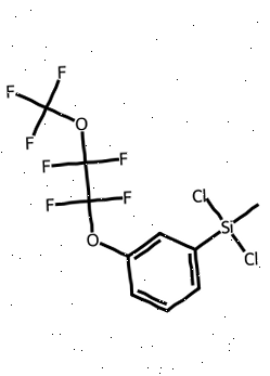 C[Si](Cl)(Cl)c1cccc(OC(F)(F)C(F)(F)OC(F)(F)F)c1